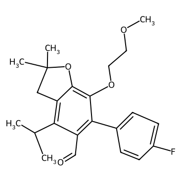 COCCOc1c2c(c(C(C)C)c(C=O)c1-c1ccc(F)cc1)CC(C)(C)O2